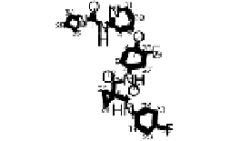 O=C(Nc1cc(Oc2ccc(NC(=O)C3(C(=O)Nc4ccc(F)cc4)CC3)cc2F)ccn1)N1CCC1